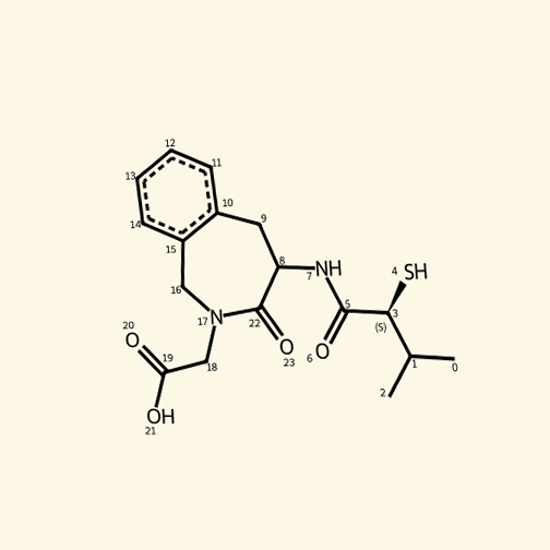 CC(C)[C@H](S)C(=O)NC1Cc2ccccc2CN(CC(=O)O)C1=O